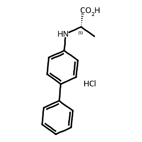 C[C@H](Nc1ccc(-c2ccccc2)cc1)C(=O)O.Cl